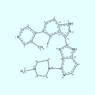 Cc1cnccc1-c1ccc2[nH]nc(-c3nc4c(N5CCN(C)CC5)nccc4[nH]3)c2c1F